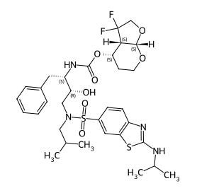 CC(C)CN(C[C@@H](O)[C@H](Cc1ccccc1)NC(=O)O[C@H]1CCO[C@H]2OCC(F)(F)[C@H]21)S(=O)(=O)c1ccc2nc(NC(C)C)sc2c1